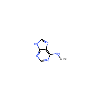 CCCCCCNc1ncnc2[nH]cnc12